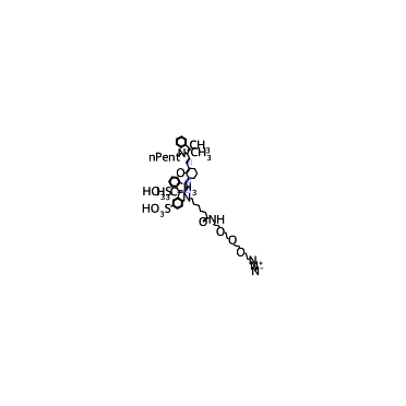 CCCCC[N+]1=C(/C=C/C2=C(Oc3ccc(S(=O)(=O)O)cc3)C(=C/C=C3/N(CCCCCC(=O)NCCOCCOCCOCCN=[N+]=[N-])c4ccc(S(=O)(=O)O)cc4C3(C)C)/CCC2)C(C)(C)c2ccccc21